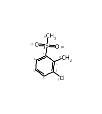 Cc1c(Cl)cccc1S(C)(=O)=O